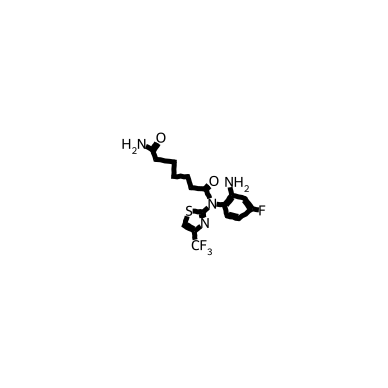 NC(=O)CCCCCC(=O)N(c1nc(C(F)(F)F)cs1)c1ccc(F)cc1N